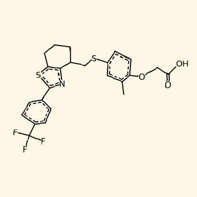 Cc1cc(SCC2CCCc3sc(-c4ccc(C(F)(F)F)cc4)nc32)ccc1OCC(=O)O